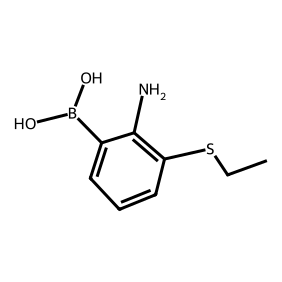 CCSc1cccc(B(O)O)c1N